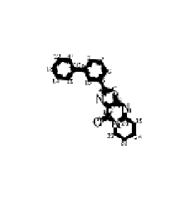 O=c1c2nc(-c3cccc(-c4ccccc4)c3)sc2nc2n1CCCC2